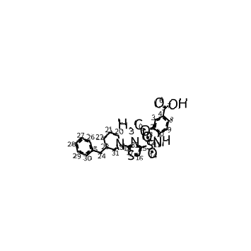 COc1cc(C(=O)O)ccc1NS(=O)(=O)c1csc(N2CCCC(Cc3ccccc3)C2)n1